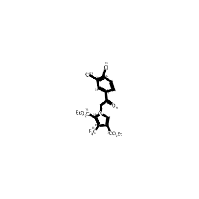 CCOC(=O)c1cn(CC(=O)c2ccc(Cl)c(Cl)c2)c(C(=O)OCC)c1C(F)(F)F